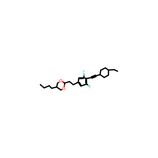 CCCCC1COC(CCc2cc(F)c(C#CC3CCC(CC)CC3)c(F)c2)OC1